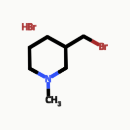 Br.CN1CCCC(CBr)C1